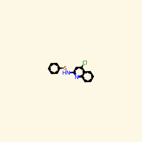 Clc1cc(NSc2ccccc2)nc2ccccc12